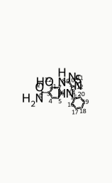 NC(=O)c1cccc(Nc2nsnc2Nc2ccccc2)c1O